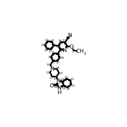 CCOc1nc(-c2ccc(CN3CCC(n4c(=O)[nH]c5ccccc54)CC3)cc2)c(-c2ccccc2)cc1C#N